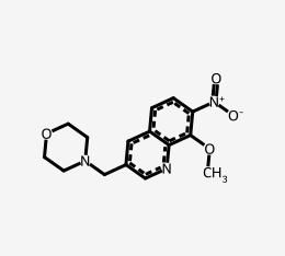 COc1c([N+](=O)[O-])ccc2cc(CN3CCOCC3)cnc12